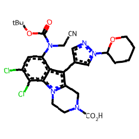 CC(C)(C)OC(=O)N(CC#N)c1cc(Cl)c(Cl)c2c1c(-c1cnn(C3CCCCO3)c1)c1n2CCN(C(=O)O)C1